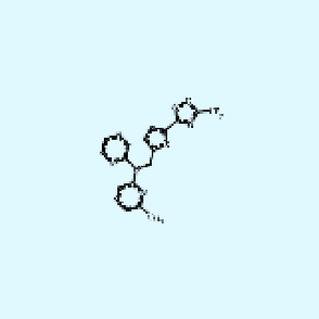 Cc1cncc(N(Cc2ccc(-c3noc(C(F)(F)F)n3)s2)c2cnccn2)n1